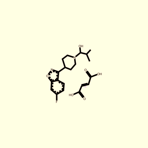 CC(C)C(O)N1CCC(c2noc3cc(F)ccc23)CC1.O=C(O)/C=C/C(=O)O